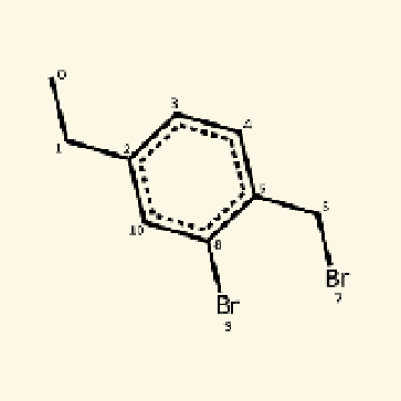 CCc1ccc(CBr)c(Br)c1